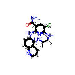 C[C@@H](N)[C@@H](C)Nc1nc(Nc2ccc3ncccc3c2)c(C(N)=O)cc1F